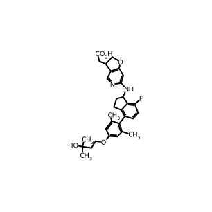 Cc1cc(OCCC(C)(C)O)cc(C)c1-c1ccc(F)c2c1CCC2Nc1cc2c(cn1)C(CC(=O)O)CO2